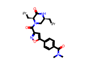 CC(C)C[C@H]1CN(C(=O)c2cc(-c3ccc(C(=O)N(C)C)cc3)on2)[C@@H](CC(C)C)C(=O)N1